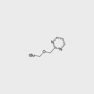 CC(C)(C)COCc1ncccn1